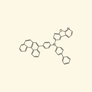 c1ccc(-c2ccc(N(c3ccc(-c4cc5ccc6ccccc6c5c5ccccc45)cc3)c3ccc4oc5ncccc5c4c3)cc2)cc1